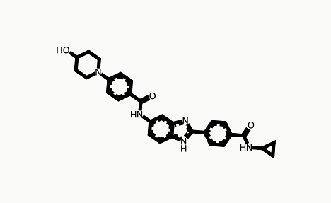 O=C(Nc1ccc2[nH]c(-c3ccc(C(=O)NC4CC4)cc3)nc2c1)c1ccc(N2CCC(O)CC2)cc1